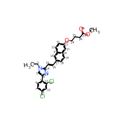 CCn1cc(-c2ccc(Cl)cc2Cl)nc1C=Cc1ccc2cc(OCCCC(=O)OC)ccc2c1